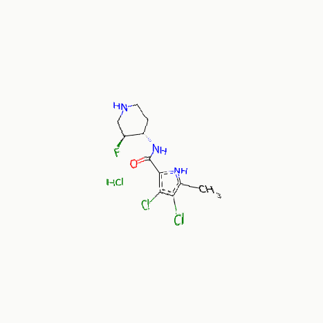 Cc1[nH]c(C(=O)N[C@H]2CCNC[C@@H]2F)c(Cl)c1Cl.Cl